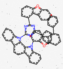 c1ccc(-c2nc(-c3cccc4oc5ccccc5c34)nc(-n3c4ccccc4c4ccc5c6ccccc6n(-c6cccc7c6oc6cccc(-c8ccccc8)c67)c5c43)n2)cc1